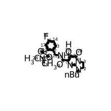 CCCCN1CCn2c1nc(C(=O)NCc1ccc(F)cc1S(=O)(=O)N(C)C)c(O)c2=O